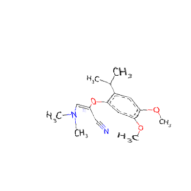 COc1cc(O/C(C#N)=C/N(C)C)c(C(C)C)cc1OC